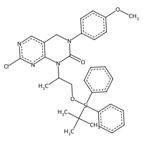 COc1ccc(N2Cc3cnc(Cl)nc3N(C(C)CO[Si](c3ccccc3)(c3ccccc3)C(C)(C)C)C2=O)cc1